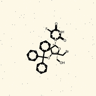 O=c1[nH]c(=O)n([C@H]2C[C@H](OC(c3ccccc3)(c3ccccc3)c3ccccc3)[C@](CO)(CBr)O2)cc1F